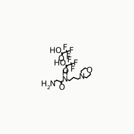 NCC(=O)NCCCN1CCOCC1.O=C(O)C(F)(F)F.O=C(O)C(F)(F)F